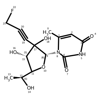 Cc1cc(=O)[nH]c(=O)n1[C@@H]1OC([C@H](C)O)[C@H](O)C1(O)C#CCF